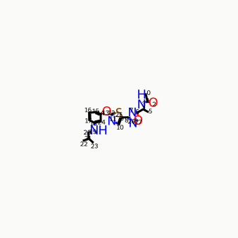 CC(=O)NC(C)c1nc(-c2cnc(Oc3cccc(NCC(C)C)c3)s2)no1